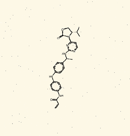 C=CC(=O)Nc1ccc(Nc2ccc([C@H](C)Nc3nccc(N4C(=O)OC[C@@H]4C(C)C)n3)cc2)cc1